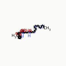 CC/C=C\C/C=C\C/C=C\C/C=C\C/C=C\C/C=C\CCC(=O)NCCCCC(NC(=O)C1=CC(=O)C(C)(c2ccccc2)O1)C(=O)O